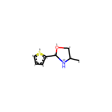 CC1COC(c2cccs2)N1